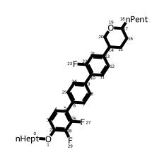 CCCCCCCOc1ccc(-c2ccc(-c3ccc(C4CCC(CCCCC)OC4)cc3F)cc2)c(F)c1F